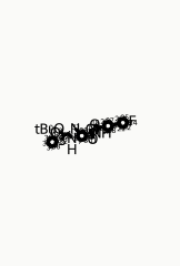 CC(C)(C)OCC(CNc1ccc(S(=O)(=O)NC(=O)c2ccc(-c3ccc(F)cc3)cc2)cc1[N+](=O)[O-])Sc1ccccc1